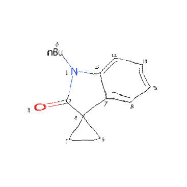 CCCCN1C(=O)C2(CC2)c2ccccc21